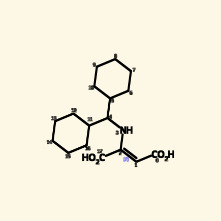 O=C(O)/C=C(\NC(C1CCCCC1)C1CCCCC1)C(=O)O